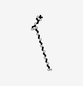 CC1(C)OCC(COC(CO)OCCOCCOCCOCCOCCOCCOCCO)O1